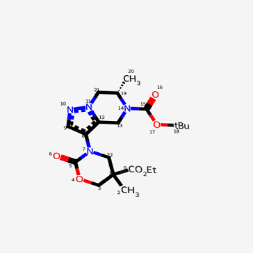 CCOC(=O)C1(C)COC(=O)N(c2cnn3c2CN(C(=O)OC(C)(C)C)[C@@H](C)C3)C1